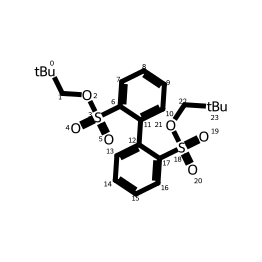 CC(C)(C)COS(=O)(=O)c1ccccc1-c1ccccc1S(=O)(=O)OCC(C)(C)C